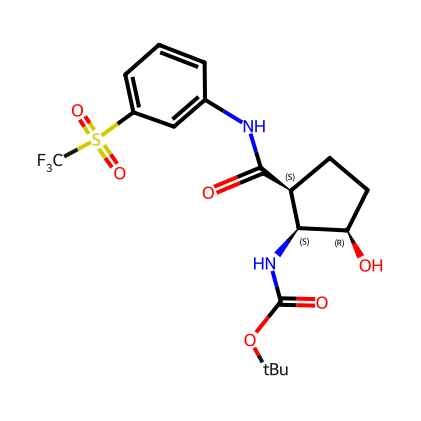 CC(C)(C)OC(=O)N[C@@H]1[C@H](O)CC[C@@H]1C(=O)Nc1cccc(S(=O)(=O)C(F)(F)F)c1